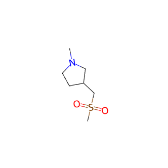 CN1CCC(CS(C)(=O)=O)C1